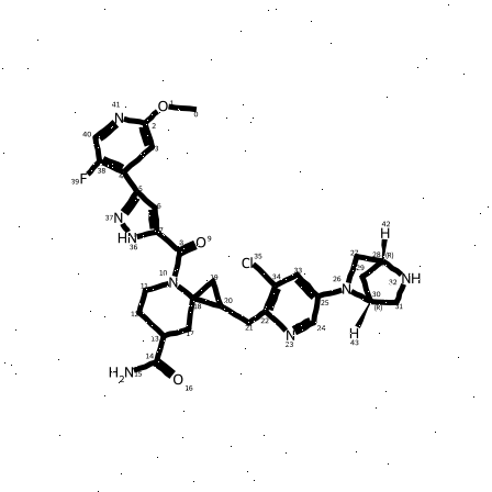 COc1cc(-c2cc(C(=O)N3CCC(C(N)=O)CC34CC4Cc3ncc(N4C[C@H]5C[C@@H]4CN5)cc3Cl)[nH]n2)c(F)cn1